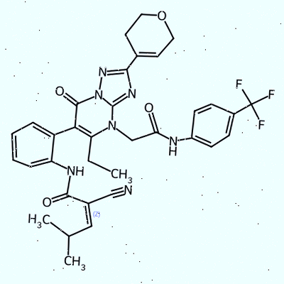 CCc1c(-c2ccccc2NC(=O)/C(C#N)=C\C(C)C)c(=O)n2nc(C3=CCOCC3)nc2n1CC(=O)Nc1ccc(C(F)(F)F)cc1